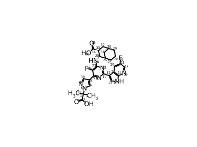 CC(C)(C(=O)O)n1cc(-c2nc(-c3c[nH]c4ncc(F)cc34)nc(N[C@H]3C4CCCC(C4)C[C@@H]3C(=O)O)c2F)cn1